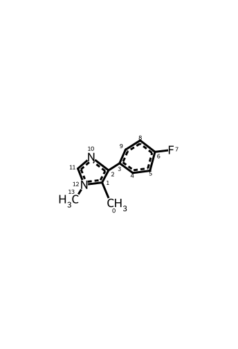 Cc1c(-c2ccc(F)cc2)ncn1C